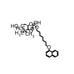 C[N+](C)(C)C([O-])[C@@H](CC(=O)O)OP(=O)(O)OCCCCCCCOc1cccc2ccccc12